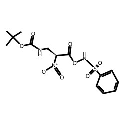 CC(C)(C)OC(=O)NC[C@@H](C(=O)ONS(=O)(=O)c1ccccc1)[N+](=O)[O-]